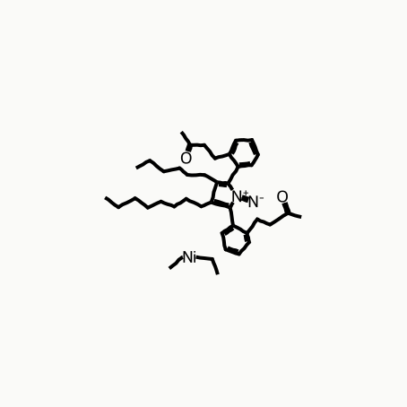 CCCCCCCCC1=C(c2ccccc2CCC(C)=O)[N+](=[N-])C(c2ccccc2CCC(C)=O)=C1CCCCCC.C[CH2][Ni][CH2]C